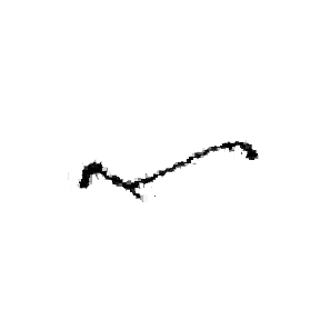 CCc1c2c(nc3ccc(O)cc13)-c1cc3c(c(=O)n1C2)COC(=O)[C@@]3(CC)OC(=O)OCc1ccc(NC(=O)[C@H](CCCCN)NC(=O)COCC(=O)NCCOCCCCCOCCOCCOCCOCCOCCOCCn2cc(CNC(=O)C3CCC(CN4C(=O)C=CC4=O)CC3)nn2)cc1